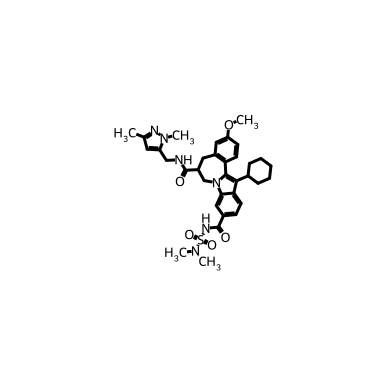 COc1ccc2c(c1)CC(C(=O)NCc1cc(C)nn1C)Cn1c-2c(C2CCCCC2)c2ccc(C(=O)NS(=O)(=O)N(C)C)cc21